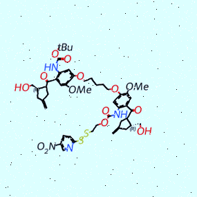 C=C1CC(C(=O)c2cc(OC)c(OCCCCCOc3cc(NC(=O)OC(C)(C)C)c(C(=O)C4CC(=C)C[C@H]4CO)cc3OC)cc2NC(=O)OCCSSc2ccc([N+](=O)[O-])cn2)[C@H](CO)C1